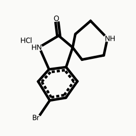 Cl.O=C1Nc2cc(Br)ccc2C12CCNCC2